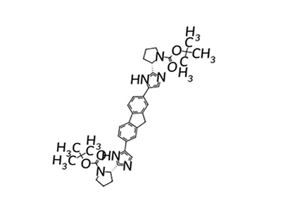 CC(C)(C)OC(=O)N1CCC[C@H]1c1ncc(-c2ccc3c(c2)Cc2cc(-c4cnc([C@@H]5CCCN5C(=O)OC(C)(C)C)[nH]4)ccc2-3)[nH]1